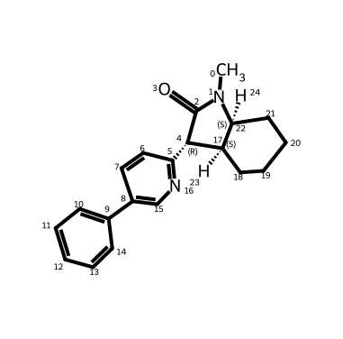 CN1C(=O)[C@@H](c2ccc(-c3ccccc3)cn2)[C@@H]2CCCC[C@@H]21